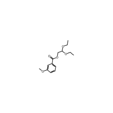 CCOC(COC(=O)c1cccc(OC)c1)OCC